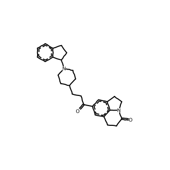 O=C(CCC1CCN(C2CCc3ccccc32)CC1)c1cc2c3c(c1)CCN3C(=O)CC2